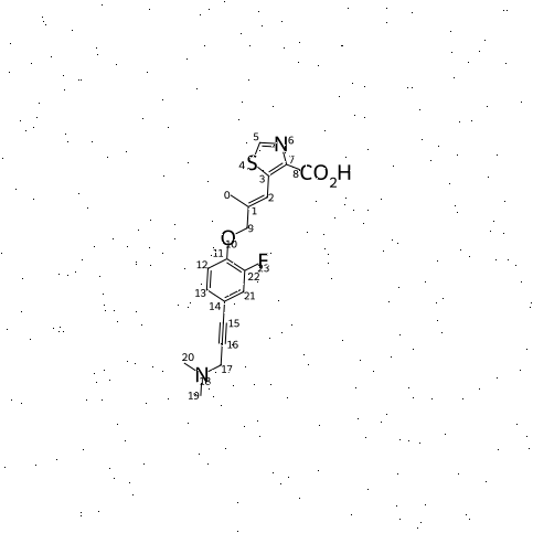 C/C(=C\c1scnc1C(=O)O)COc1ccc(C#CCN(C)C)cc1F